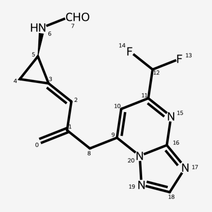 C=C(/C=C1\C[C@H]1NC=O)Cc1cc(C(F)F)nc2ncnn12